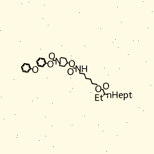 CCCCCCCC(CC)C(=O)OCCCCCCNC(=O)OC1CCN(C(=O)Oc2cccc(Oc3ccccc3)c2)CC1